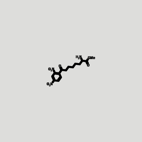 COC(=O)C(N)CCCCCC(=O)c1ccc([N+](=O)[O-])cc1[N+](=O)[O-]